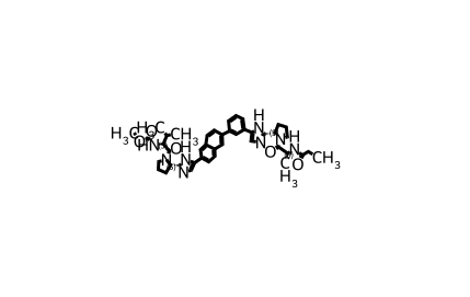 CCC(=O)N[C@@H](C)C(=O)N1CCC[C@H]1c1ncc(-c2cccc(-c3ccc4cc(-c5cnc([C@@H]6CCCN6C(=O)[C@@H](NC(=O)OC)C(C)C)[nH]5)ccc4c3)c2)[nH]1